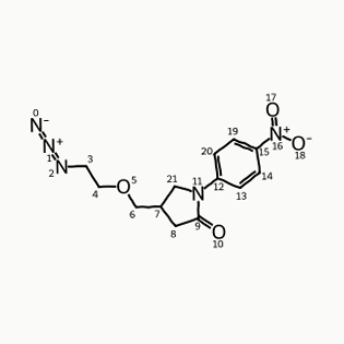 [N-]=[N+]=NCCOCC1CC(=O)N(c2ccc([N+](=O)[O-])cc2)C1